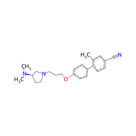 Cc1cc(C#N)ccc1-c1ccc(OCCCN2CC[C@@H](N(C)C)C2)cc1